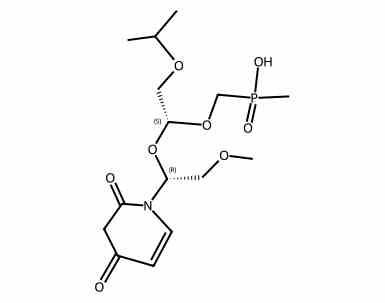 COC[C@@H](O[C@H](COC(C)C)OCP(C)(=O)O)N1C=CC(=O)CC1=O